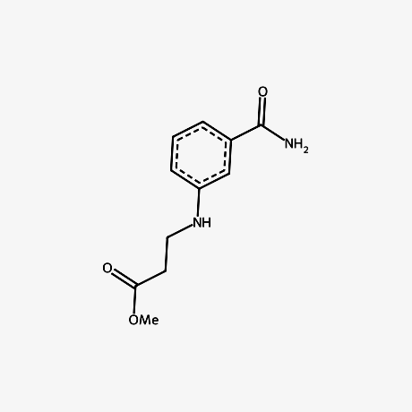 COC(=O)CCNc1cccc(C(N)=O)c1